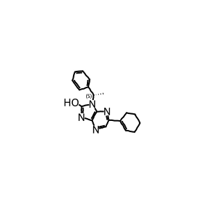 C[C@@H](c1ccccc1)n1c(O)nc2ncc(C3=CCCCC3)nc21